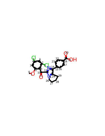 COc1cc(Cl)cc(Cl)c1C(=O)c1nc(-c2ccc(C(=O)O)cc2)c2n1CCCC2